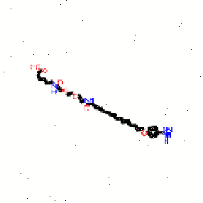 C[C@@H](CCCCNC(=O)COCCOCCNC(=O)CCCCCCCCCCCCCCCOc1ccc(-c2nnn[nH]2)cc1)C(=O)O